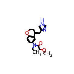 CCN(C(=O)COC)c1ccc2c(c1)/C(=C/c1c[nH]cn1)CCO2